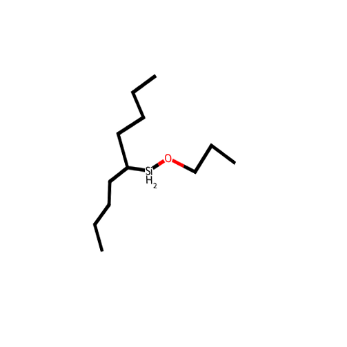 CCCCC(CCCC)[SiH2]OCCC